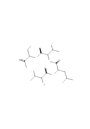 CC(=O)C(CO)NC(=O)C(NC(=O)C(CC(C)C)NC(=O)C(N)C(C)O)C(C)O